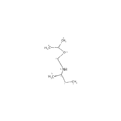 CCC(C)NCOC(C)C